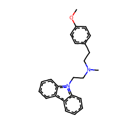 COc1ccc(CCN(C)CCn2c3ccccc3c3ccccc32)cc1